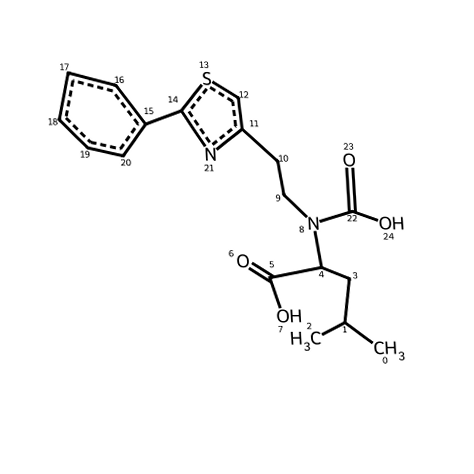 CC(C)CC(C(=O)O)N(CCc1csc(-c2ccccc2)n1)C(=O)O